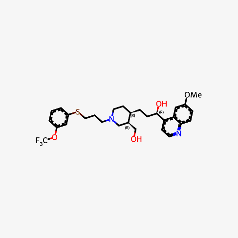 COc1ccc2nccc([C@H](O)CC[C@@H]3CCN(CCCSc4cccc(OC(F)(F)F)c4)C[C@@H]3CO)c2c1